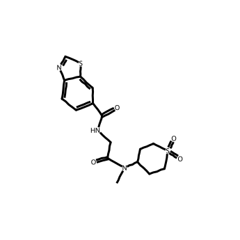 CN(C(=O)CNC(=O)c1ccc2ncsc2c1)C1CCS(=O)(=O)CC1